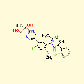 C=Nc1cc(F)c(-c2cnc(C(C)(O)CO)nc2)cc1/C(NC(C)c1ccccc1F)=C(\C)Cl